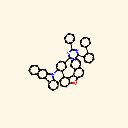 c1ccc(-c2nc(-c3ccc(-n4c5ccccc5c5cc6ccccc6cc54)c(-c4cccc5oc6ccc7ccccc7c6c45)c3)nc(-c3ccccc3-c3ccccc3)n2)cc1